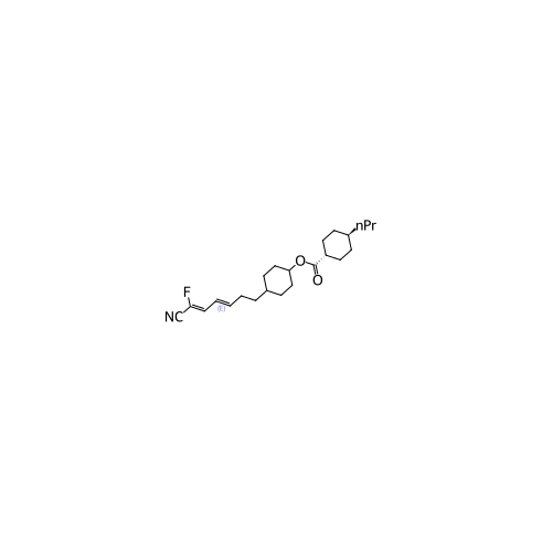 CCC[C@H]1CC[C@H](C(=O)OC2CCC(CC/C=C/C=C(F)C#N)CC2)CC1